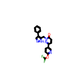 O=c1ccc(-c2ccc(OC(F)F)nc2)nn1Cc1[nH]ncc1-c1ccccc1